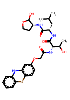 CC(C)C[C@H](NC(=O)[C@@H](NC(=O)COc1ccc2c(c1)Nc1ccccc1S2)C(C)O)C(=O)N[C@H]1CCOC1O